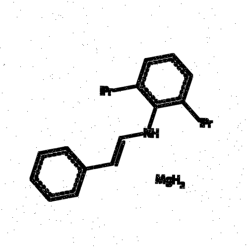 CC(C)c1cccc(C(C)C)c1NC=Cc1ccccc1.[MgH2]